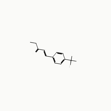 CCC(=O)/C=C/c1ccc(C(F)(F)F)cc1